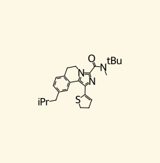 CC(C)Cc1ccc2c(c1)-c1c(C3=CCCS3)nc(C(=O)N(C)C(C)(C)C)n1CC2